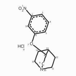 Cl.O=[N+]([O-])c1cccc(OC2CN3CCC2CC3)c1